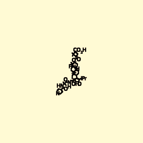 CC(C)C1=C2C3CC[C@@H]4[C@@]5(C)CC[C@H](OC(=O)[C@H]6C[C@@H](C(=O)O)C6(C)C)C(C)(C)[C@@H]5CC[C@@]4(C)[C@]3(C)CC[C@@]2([C@@H](O)CNC(=O)C(C)(C)NC(=O)c2ccncc2)CC1=O